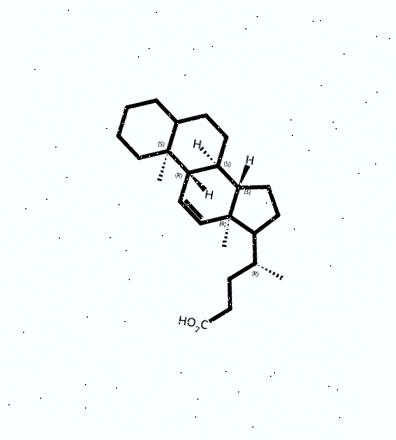 C[C@H](CCC(=O)O)C1CC[C@H]2[C@@H]3CCC4CCCC[C@]4(C)[C@H]3C=C[C@]12C